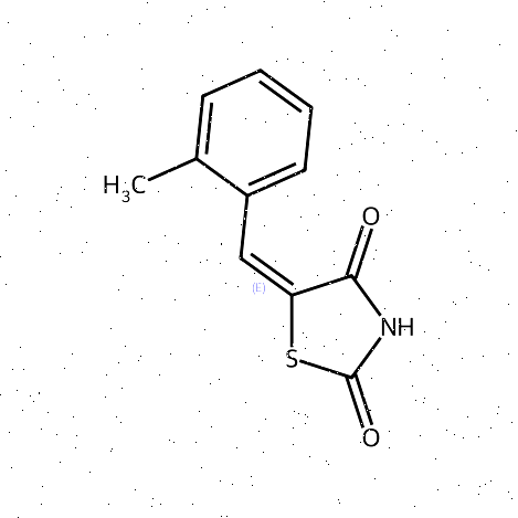 Cc1ccccc1/C=C1/SC(=O)NC1=O